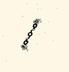 NS(=O)(=O)c1ccc(OCC2CCC(COc3ccc(S(N)(=O)=O)cc3)CC2)cc1